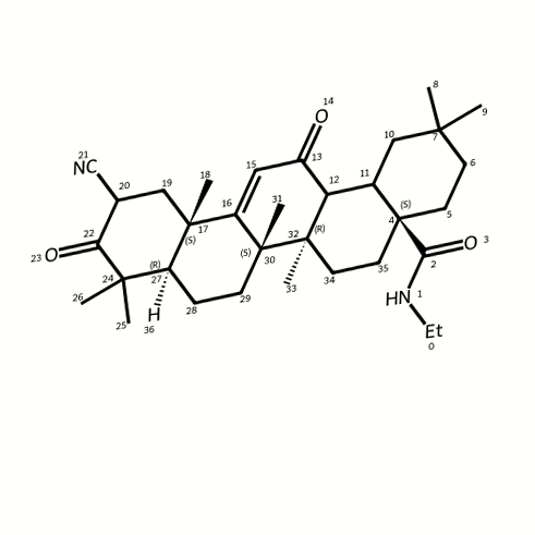 CCNC(=O)[C@]12CCC(C)(C)CC1C1C(=O)C=C3[C@@]4(C)CC(C#N)C(=O)C(C)(C)[C@@H]4CC[C@@]3(C)[C@]1(C)CC2